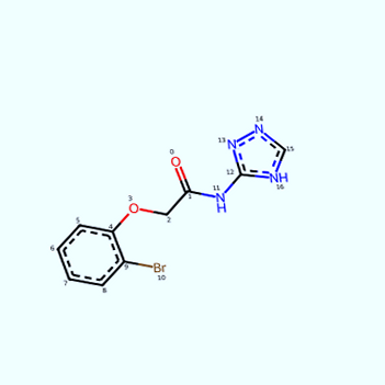 O=C(COc1ccccc1Br)Nc1nnc[nH]1